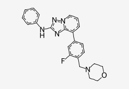 Fc1cc(-c2cccn3nc(Nc4ccccc4)nc23)ccc1CN1CCOCC1